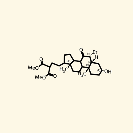 CC[C@H]1C(=O)C2C3CCC(CCC(C(=O)OC)C(=O)OC)[C@@]3(C)CCC2[C@@]2(C)CC[C@@H](O)C[C@@H]12